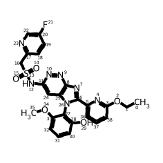 CCOC1=NC(c2nc3nnc(NS(=O)(=O)Cc4ccc(F)cn4)cc3n2-c2c(O)cccc2OC)=C=C=C1